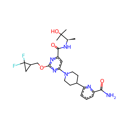 C[C@@H](NC(=O)c1cc(N2CCC(c3cccc(C(N)=O)n3)CC2)nc(OCC2CC2(F)F)n1)C(C)(C)O